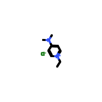 CC[n+]1ccc(N(C)C)cc1.[Cl-]